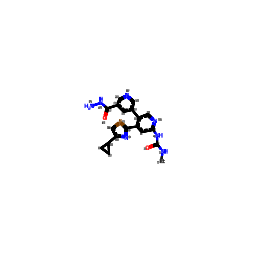 CCNC(=O)Nc1cc(-c2nc(C3CC3)cs2)c(-c2cncc(C(=O)NN)c2)cn1